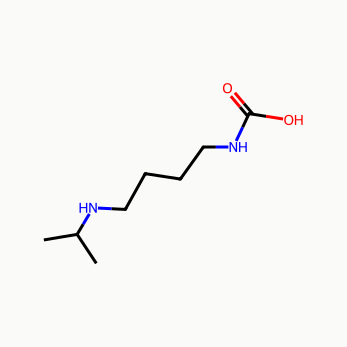 CC(C)NCCCCNC(=O)O